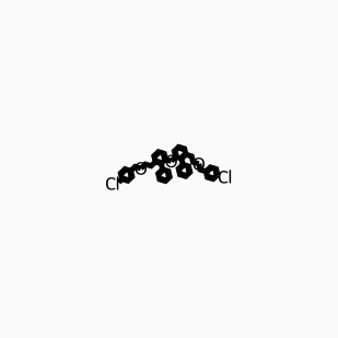 Clc1ccc(COCCc2cccc(Oc3cccc(CCOCc4ccc(Cl)cc4)c3-c3ccccc3)c2-c2ccccc2)cc1